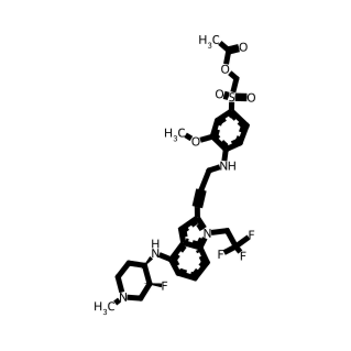 COc1cc(S(=O)(=O)COC(C)=O)ccc1NCC#Cc1cc2c(N[C@@H]3CCN(C)C[C@@H]3F)cccc2n1CC(F)(F)F